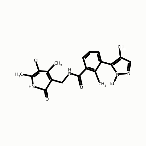 CCn1ncc(C)c1-c1cccc(C(=O)NCc2c(C)c(Cl)c(C)[nH]c2=O)c1C